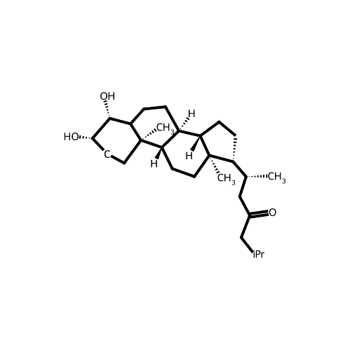 CC(C)CC(=O)C[C@@H](C)[C@H]1CC[C@H]2[C@@H]3CCC4[C@@H](O)[C@@H](O)CC[C@]4(C)[C@H]3CC[C@]12C